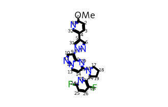 COc1ccc(-c2cnn(-c3cnn4ccc(N5CCC[C@@H]5c5nc(F)ccc5F)nc34)c2)cn1